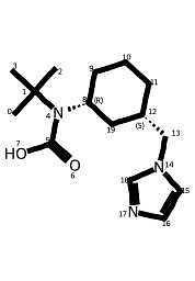 CC(C)(C)N(C(=O)O)[C@@H]1CCC[C@H](Cn2ccnc2)C1